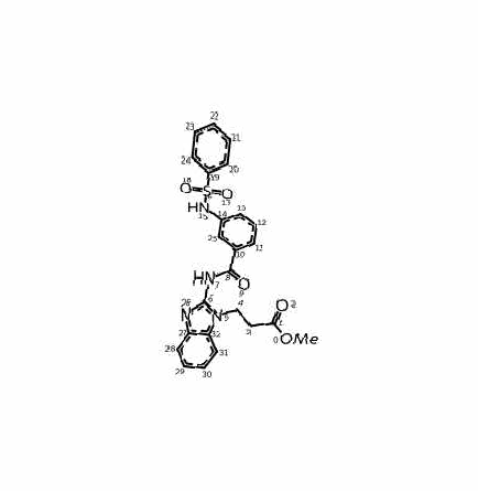 COC(=O)CCn1c(NC(=O)c2cccc(NS(=O)(=O)c3ccccc3)c2)nc2ccccc21